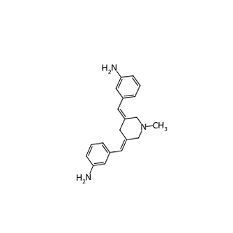 CN1CC(=Cc2cccc(N)c2)CC(=Cc2cccc(N)c2)C1